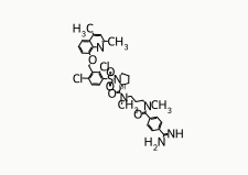 Cc1cc(C)c2cccc(OCc3c(Cl)ccc(S(=O)(=O)N4CCC[C@H]4C(=O)N(C)CCCN(C)C(=O)c4ccc(C(=N)N)cc4)c3Cl)c2n1